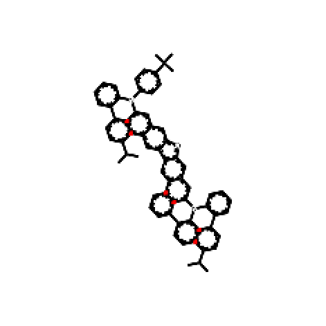 CC(C)c1ccc(-c2ccccc2N(c2ccc(C(C)(C)C)cc2)c2ccc3cc4c(cc3c2)oc2cc3cc(N(c5ccccc5-c5ccccc5)c5ccccc5-c5ccc(C(C)C)cc5)ccc3cc24)cc1